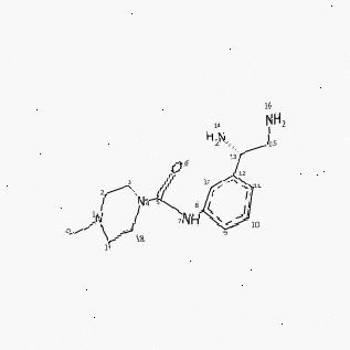 CN1CCN(C(=O)Nc2cccc([C@H](N)CN)c2)CC1